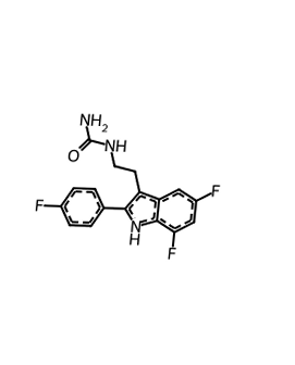 NC(=O)NCCc1c(-c2ccc(F)cc2)[nH]c2c(F)cc(F)cc12